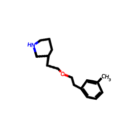 Cc1cccc(CCOCCC2CC[CH]NC2)c1